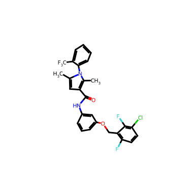 Cc1cc(C(=O)Nc2cccc(OCc3c(F)ccc(Cl)c3F)c2)c(C)n1-c1ccccc1C(F)(F)F